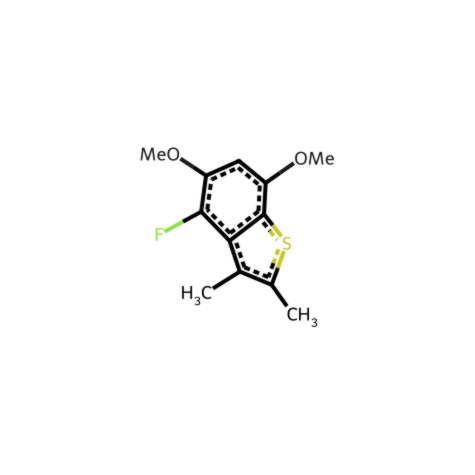 COc1cc(OC)c2sc(C)c(C)c2c1F